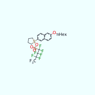 CCCCCCOc1ccc2cc(S3(OS(=O)(=O)C(F)(F)C(F)(F)C(F)(F)C(F)(F)F)CCCC3)ccc2c1